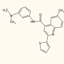 Cc1ccc2nc(-c3cccs3)cc(C(=O)Nc3cccc(N(C)C)c3)c2c1